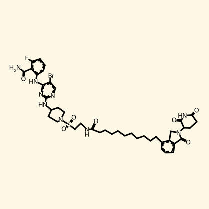 NC(=O)c1c(F)cccc1Nc1nc(NC2CCN(S(=O)(=O)CCNC(=O)CCCCCCCCCCc3cccc4c3CN(C3CCC(=O)NC3=O)C4=O)CC2)ncc1Br